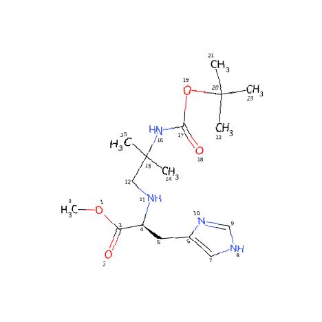 COC(=O)[C@H](Cc1c[nH]cn1)NCC(C)(C)NC(=O)OC(C)(C)C